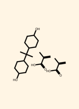 C=C(C)C(=O)O.C=C(C)C(=O)O.CC(C)(C1CCC(O)CC1)C1CCC(O)CC1